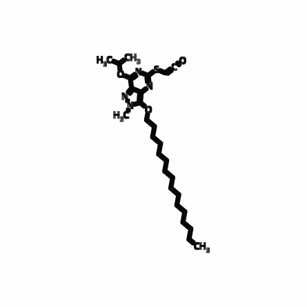 CCCCCCCCCCCCCCCCOc1c2nc(SC=C=O)nc(OC(C)C)c2nn1C